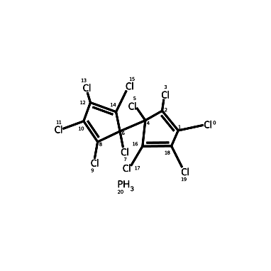 ClC1=C(Cl)C(Cl)(C2(Cl)C(Cl)=C(Cl)C(Cl)=C2Cl)C(Cl)=C1Cl.P